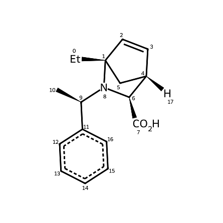 CC[C@@]12C=C[C@@H](C1)[C@@H](C(=O)O)N2[C@H](C)c1ccccc1